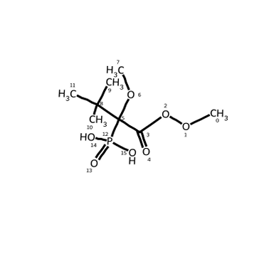 COOC(=O)C(OC)(C(C)(C)C)P(=O)(O)O